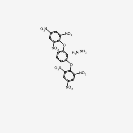 N.N.O=[N+]([O-])c1cc([N+](=O)[O-])c(Oc2cccc(Oc3c([N+](=O)[O-])cc([N+](=O)[O-])cc3[N+](=O)[O-])c2)c([N+](=O)[O-])c1